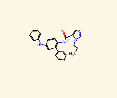 CCCn1cncc1C(=O)Nc1ccc(Nc2ccccc2)cc1-c1ccccc1